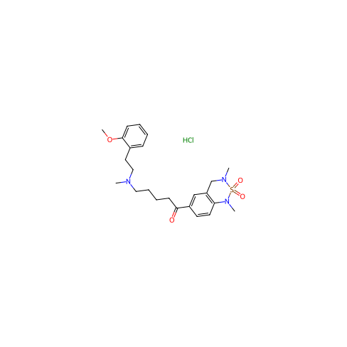 COc1ccccc1CCN(C)CCCCC(=O)c1ccc2c(c1)CN(C)S(=O)(=O)N2C.Cl